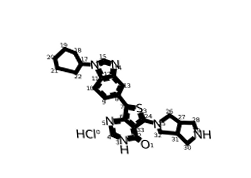 Cl.O=c1[nH]cnc2c(-c3ccc4c(c3)ncn4C3CCCCC3)sc(N3CC4CNCC4C3)c12